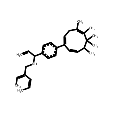 C=CC(NCC(/C=C\C)=C/C)c1ccc(C2=C/C/C(C)=C(/C)C(C)(C)C(C)/C=C\2)cc1